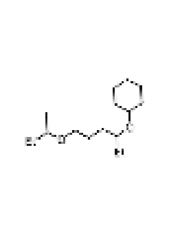 CCC(I)OCCCC(CC)OC1CCCCC1